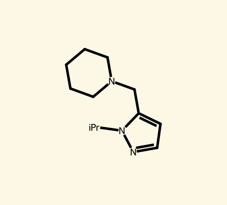 CC(C)n1nccc1CN1CCCCC1